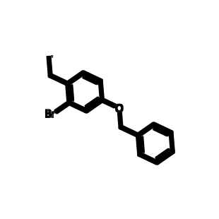 [CH2]Cc1ccc(OCc2ccccc2)cc1Br